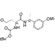 COc1cccc([C@@H](C)NC(=O)[C@@H](CCO)NC(=O)OC(C)(C)C)c1